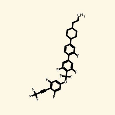 CCCC1CCC(c2ccc(-c3cc(F)c(C(F)(F)Oc4cc(F)c(C#CC(F)(F)F)c(F)c4)c(F)c3)c(F)c2)CC1